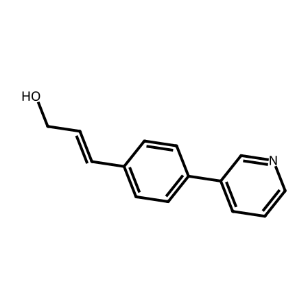 OC/C=C/c1ccc(-c2cccnc2)cc1